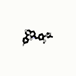 COc1cc(/C=C2\CCC3=COCC(c4ccc(F)cc4)N3C2=O)ccc1-n1cnc(C)c1